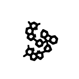 Cc1cc(C)c2ccc3ccc(-c4cccc(C5(c6cccc(-c7ccc8ccc9c(C)cc(C)nc9c8n7)c6)c6ccccc6-c6ccccc65)c4)nc3c2n1